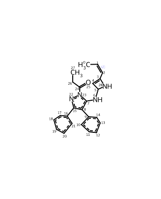 C/C=C\C1=CC(Nc2c(-c3ccccc3)c(-c3ccccc3)nn2C(=O)CC)N1